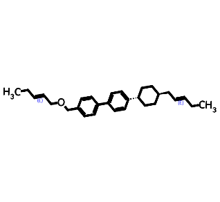 CC/C=C/COCc1ccc(-c2ccc([C@H]3CC[C@H](C/C=C/CC)CC3)cc2)cc1